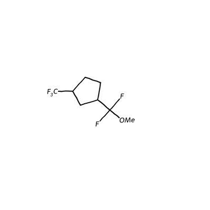 COC(F)(F)C1CCC(C(F)(F)F)C1